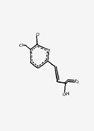 O=C(O)/C=C/c1ccc(Cl)c(Cl)n1